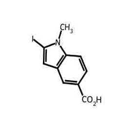 Cn1c(I)cc2cc(C(=O)O)ccc21